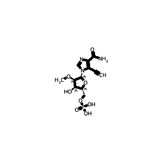 C#Cc1c(C(N)=O)ncn1[C@@H]1O[C@H](COP(=O)(O)O)[C@@H](O)[C@H]1OC